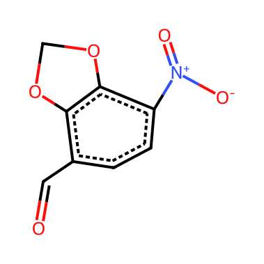 O=Cc1ccc([N+](=O)[O-])c2c1OCO2